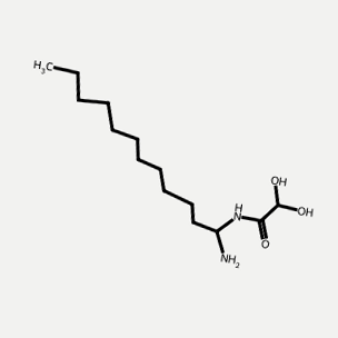 CCCCCCCCCCCC(N)NC(=O)C(O)O